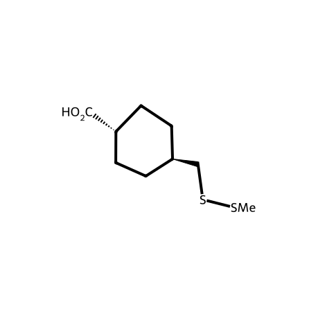 CSSC[C@H]1CC[C@H](C(=O)O)CC1